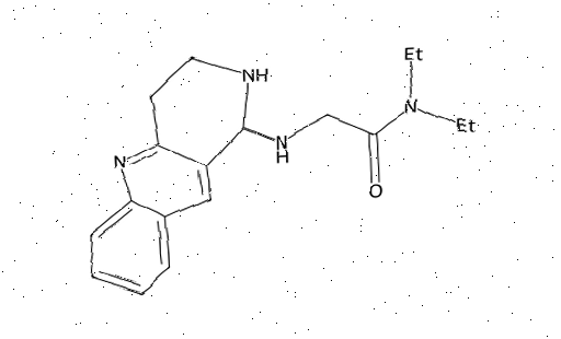 CCN(CC)C(=O)CNC1NCCc2nc3ccccc3cc21